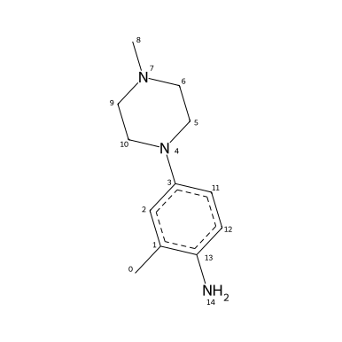 Cc1cc(N2CCN(C)CC2)ccc1N